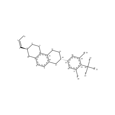 C/C=C\[C@H]1CCc2c(ccc3c2CC[C@H](c2cc(F)c(C(F)(F)F)c(F)c2)C3)C1